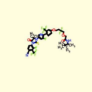 CC(NC(=O)COCC(F)(F)CCOc1ccc(-c2ncc(N3C(=S)N(c4ccc(C#N)c(C(F)(F)F)c4F)C(=O)C3(C)C)cc2F)c(C(F)(F)F)c1)C(C)(C)C